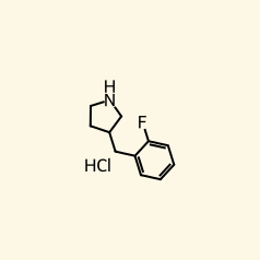 Cl.Fc1ccccc1CC1CCNC1